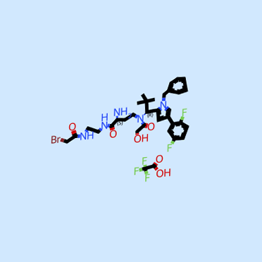 CC(C)(C)[C@H](c1cc(-c2cc(F)ccc2F)cn1Cc1ccccc1)N(CC[C@H](N)C(=O)NCCNC(=O)CBr)C(=O)CO.O=C(O)C(F)(F)F